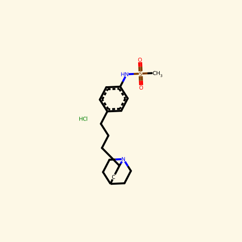 CS(=O)(=O)Nc1ccc(CCCC2CC3CCN2CC3)cc1.Cl